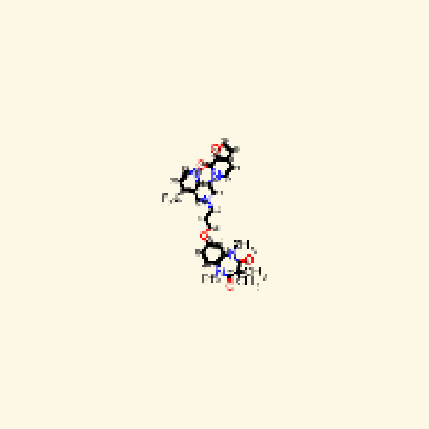 CCN1C(=O)C(C)(C)C(=O)N(C)c2cc(OCCCN(CCn3ccc4ccoc4c3=O)Cc3cnccc3C(F)(F)F)ccc21